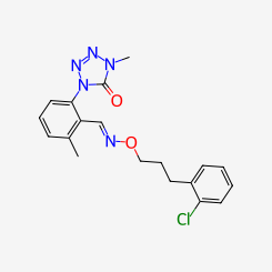 Cc1cccc(-n2nnn(C)c2=O)c1C=NOCCCc1ccccc1Cl